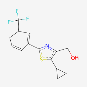 OCc1nc(C2=CC(C(F)(F)F)CC=C2)sc1C1CC1